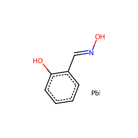 ON=Cc1ccccc1O.[Pb]